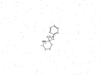 O=C(O)C1(Cc2ccccc2)CCCCN1